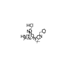 Cc1cnn(C[C@H]2CN[C@H](C)CN2CC(=O)N2CC(C)(C)c3cnc(Cc4ccccc4)cc32)c1.Cl